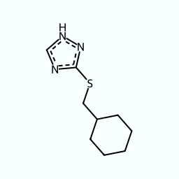 c1nc(SCC2CCCCC2)n[nH]1